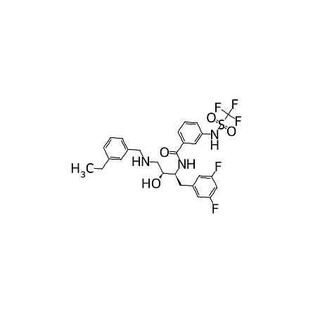 CCc1cccc(CNC[C@H](O)[C@H](Cc2cc(F)cc(F)c2)NC(=O)c2cccc(NS(=O)(=O)C(F)(F)F)c2)c1